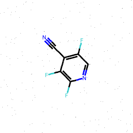 N#Cc1c(F)[c]nc(F)c1F